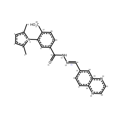 Cc1ccc(C)n1-c1cc(C(=O)N/N=C/c2ccc3nccnc3c2)ccc1C(=O)O